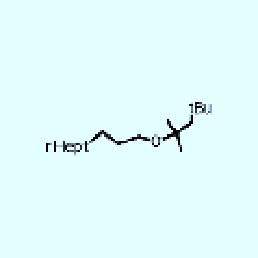 CCCCCCCCCCOC(C)(C)CC(C)(C)C